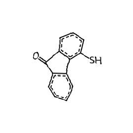 O=C1c2ccccc2-c2c(S)cccc21